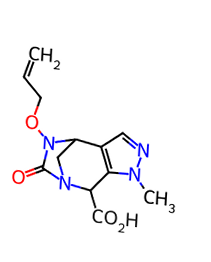 C=CCON1C(=O)N2CC1c1cnn(C)c1C2C(=O)O